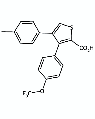 Cc1ccc(-c2csc(C(=O)O)c2-c2ccc(OC(F)(F)F)cc2)cc1